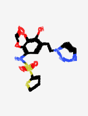 O=S(=O)(Nc1cc(C=Cn2ccnn2)c(O)c2c1OCO2)c1cccs1